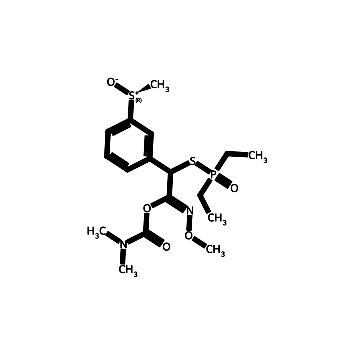 CCP(=O)(CC)SC(C(=NOC)OC(=O)N(C)C)c1cccc([S@+](C)[O-])c1